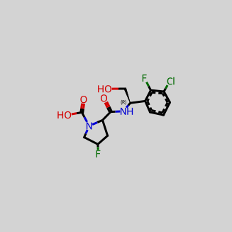 O=C(N[C@@H](CO)c1cccc(Cl)c1F)C1CC(F)CN1C(=O)O